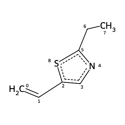 C=Cc1cnc(CC)s1